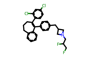 FCC(F)CN1CC(Cc2ccc(C3=C(c4ccc(Cl)cc4Cl)CCCc4ccccc43)cc2)C1